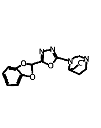 c1ccc2c(c1)OC(c1nnc(N3CCN4CCC3CC4)o1)O2